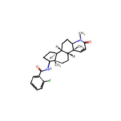 CN1C(=O)C=C[C@@]2(C)C1CC[C@@H]1[C@H]2CC[C@]2(C)C(NC(=O)c3ccccc3F)CC[C@@H]12